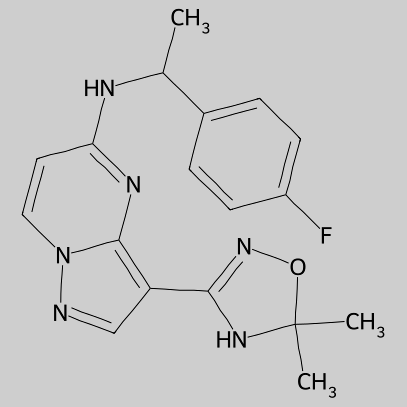 CC(Nc1ccn2ncc(C3=NOC(C)(C)N3)c2n1)c1ccc(F)cc1